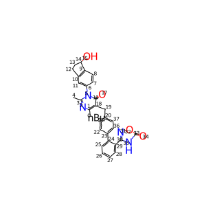 CCCCc1nc(C)n(-c2ccc3c(c2)CCC3O)c(=O)c1Cc1ccc(-c2ccccc2-c2noc(=O)[nH]2)cc1